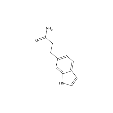 NC(=O)CCc1ccc2cc[nH]c2c1